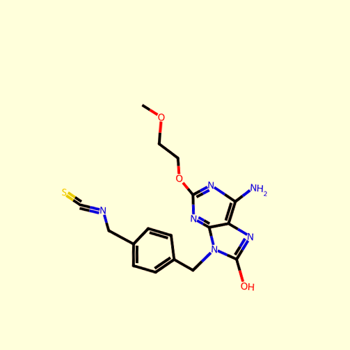 COCCOc1nc(N)c2nc(O)n(Cc3ccc(CN=C=S)cc3)c2n1